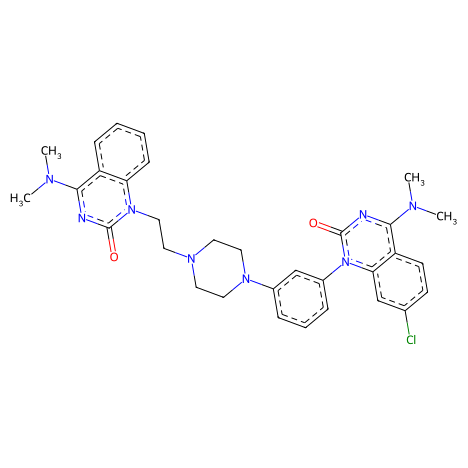 CN(C)c1nc(=O)n(CCN2CCN(c3cccc(-n4c(=O)nc(N(C)C)c5ccc(Cl)cc54)c3)CC2)c2ccccc12